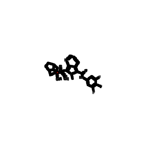 Cn1c(C(=O)Nc2cc(F)c(F)c(F)c2)c2cccnc2c1S(=O)(=O)NC1C2CCC1CC(O)(CO)C2